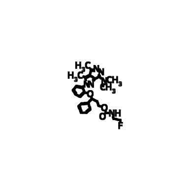 Cc1nnc(N(C)C)c2nn(-c3ccccc3OC(CCOC(=O)NCCF)c3ccccc3)c(C)c12